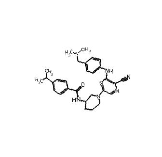 CC(C)c1ccc(C(=O)N[C@@H]2CCCN(c3cnc(C#N)c(Nc4ccc(CN(C)C)cc4)n3)C2)cc1